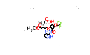 CC(=O)O.CCOC(=O)CCCCOc1ccc(OCC(F)(F)F)cc1C(=O)NCC1CCCCN1